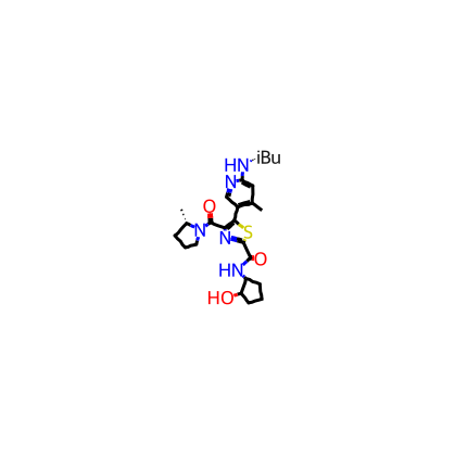 CC[C@@H](C)Nc1cc(C)c(-c2sc(C(=O)NC3CCCC3O)nc2C(=O)N2CCC[C@@H]2C)cn1